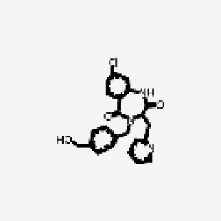 O=C1Nc2cc(Cl)ccc2C(=O)N(Cc2ccc(CO)cc2)C1Cc1ccccn1